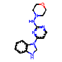 c1ccc2c(c1)NCN2c1ccnc(NN2CCOCC2)n1